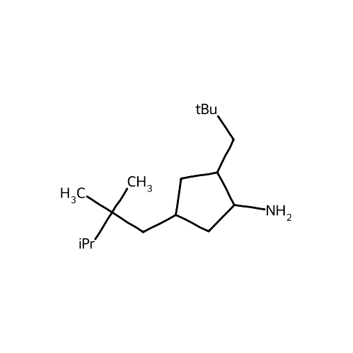 CC(C)C(C)(C)CC1CC(N)C(CC(C)(C)C)C1